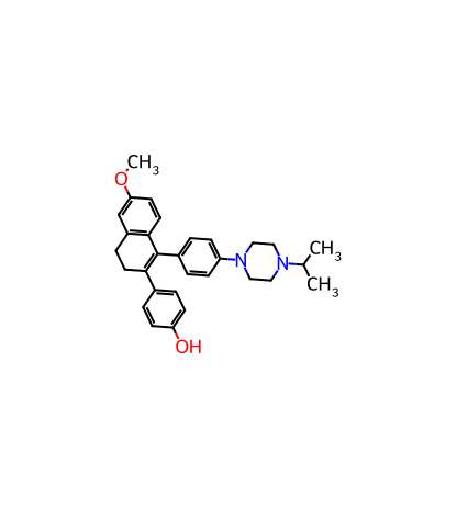 COc1ccc2c(c1)CCC(c1ccc(O)cc1)=C2c1ccc(N2CCN(C(C)C)CC2)cc1